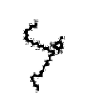 CCCC/C=C\C/C=C\CCCCCCCCC1(CCCCCCCC/C=C\C/C=C\CCCC)O[C@@H]2CC[C@@H](CC)C[C@H]2O1